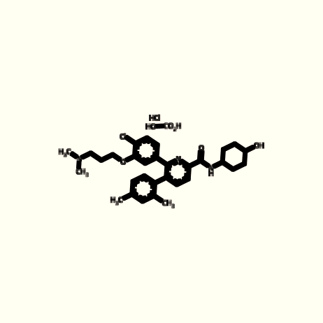 Cc1ccc(-c2ccc(C(=O)NC3CCC(O)CC3)nc2-c2ccc(Cl)c(OCCCN(C)C)c2)c(C)c1.Cl.O=C(O)O